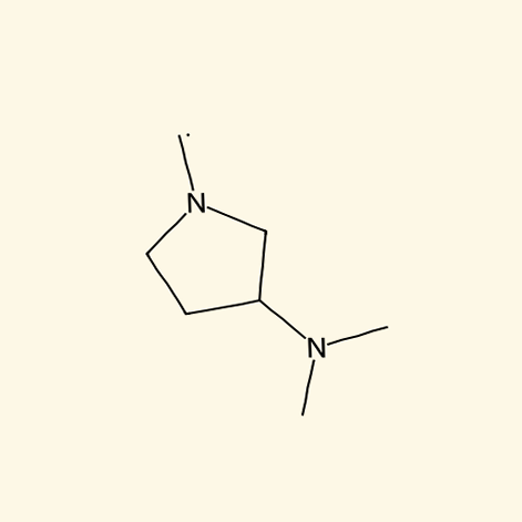 [CH2]N1CCC(N(C)C)C1